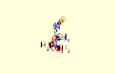 COc1ccc(N2C(=O)CS/C2=N\C(=O)NC(C)CCCc2ccc(-c3ncn(-c4ccc(OC(F)(F)F)cc4)n3)cc2)c(C(C)C)c1